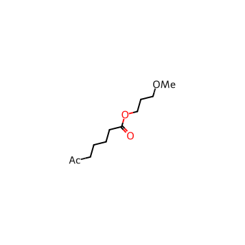 COCCCOC(=O)CCCCC(C)=O